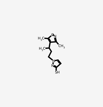 Cc1noc(C)c1C(C)CCn1ccc(S)n1